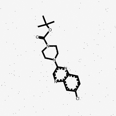 CC(C)(C)OC(=O)N1CCN(c2cnc3cc(Cl)ccc3n2)CC1